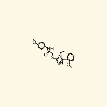 CCn1c(SCC(=O)Nc2ccc(OC)cc2)nnc1-c1ccccc1OC